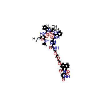 CCC[C@H](NC(=O)[C@@H]1C2CCC[C@H]2CN1C(=O)[C@@H](NC(=O)[C@@H](NC(=O)c1cnc(C(=O)NCCOCCOCCOc2cc3c4c(cccc4c2)C(=O)N(C2CCC(=O)NC2=O)C3=O)cn1)C1CCCCC1)C(C)(C)C)C(=O)C(=O)NC1CC1